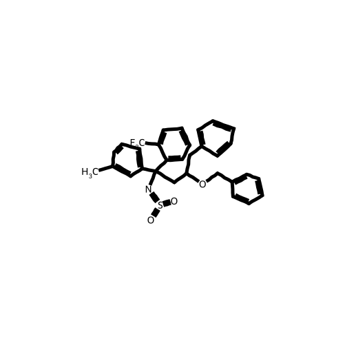 Cc1cccc(C(CC(Cc2ccccc2)OCc2ccccc2)(N=S(=O)=O)c2ccccc2C(F)(F)F)c1